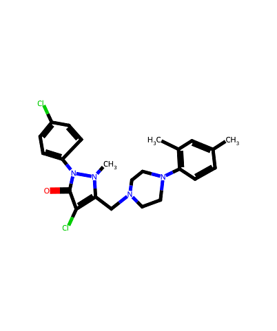 Cc1ccc(N2CCN(Cc3c(Cl)c(=O)n(-c4ccc(Cl)cc4)n3C)CC2)c(C)c1